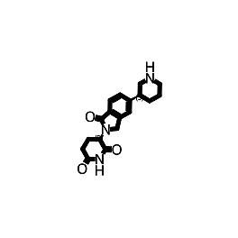 O=C1CC[C@@H](N2Cc3cc([C@@H]4CCCNC4)ccc3C2=O)C(=O)N1